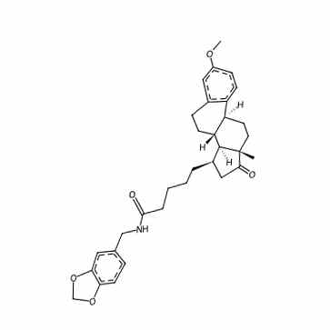 COc1ccc2c(c1)CC[C@H]1[C@@H]3[C@H](CCCCC(=O)NCc4ccc5c(c4)OCO5)CC(=O)[C@@]3(C)CC[C@H]21